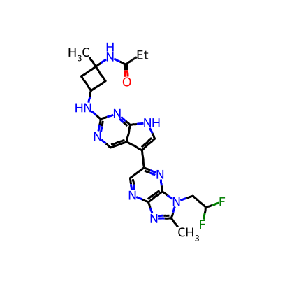 CCC(=O)NC1(C)CC(Nc2ncc3c(-c4cnc5nc(C)n(CC(F)F)c5n4)c[nH]c3n2)C1